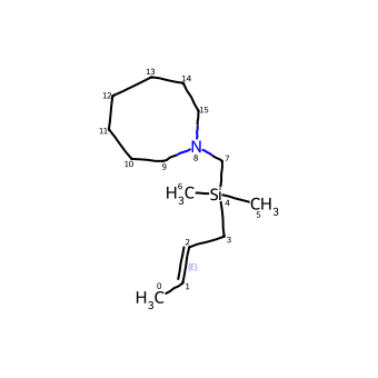 C/C=C/C[Si](C)(C)CN1CCCCCCC1